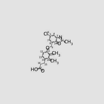 Cc1nc2cc(Cl)cc(COc3ccc(CCC(=O)O)c(C)c3C)c2o1